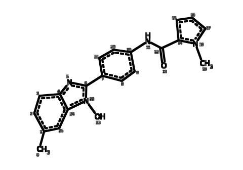 Cc1ccc2nc(-c3ccc(NC(=O)c4cccn4C)cc3)n(O)c2c1